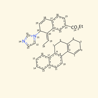 C1=CC2=C(CC1)CCc1c2ccc2ccccc12.CC=C1c2cc(C(=O)OCC)ccc2C=CC1n1ccnc1